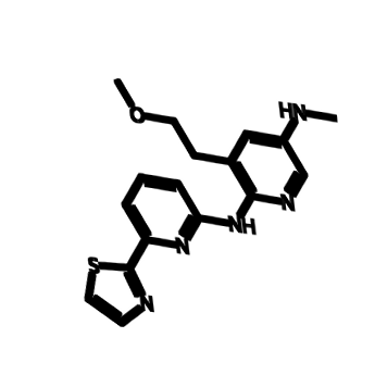 CNc1cnc(Nc2cccc(-c3nccs3)n2)c(CCOC)c1